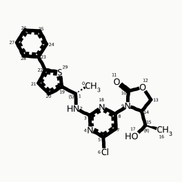 C[C@H](Nc1nc(Cl)cc(N2C(=O)OCC2[C@@H](C)O)n1)c1ccc(-c2ccccc2)s1